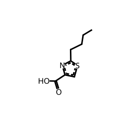 CCCCc1nc(C(=O)O)cs1